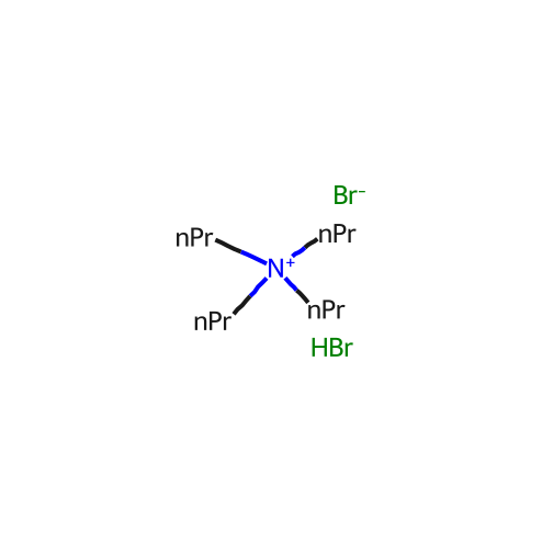 Br.CCC[N+](CCC)(CCC)CCC.[Br-]